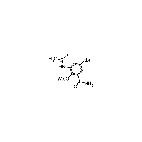 COc1c(N[S+](C)[O-])cc(C(C)(C)C)cc1C(N)=O